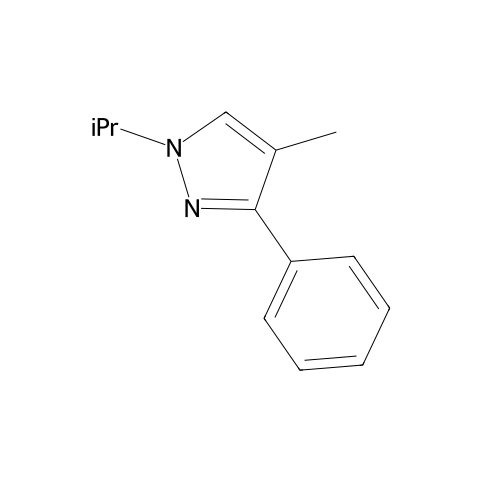 Cc1cn(C(C)C)nc1-c1ccccc1